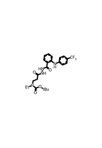 CCN(CCC(=O)NNC(=O)c1ccccc1Nc1ccc(C(F)(F)F)cc1)C(=O)OC(C)(C)C